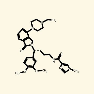 CCN1CCN(c2cccc3c2CN([C@H](CCCNC(=O)c2cn(C)cn2)c2ccc(OC)c(OC)c2)C3=O)CC1